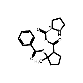 CC1(SC(=O)c2ccccc2)CCCC1C(=O)OC(=O)[C@@H]1CCCN1